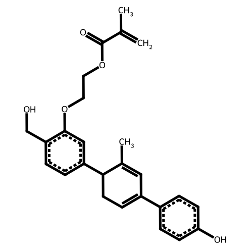 C=C(C)C(=O)OCCOc1cc(C2CC=C(c3ccc(O)cc3)C=C2C)ccc1CO